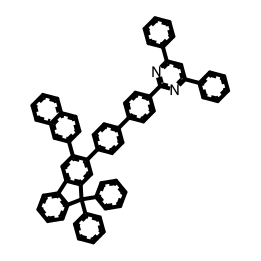 c1ccc(-c2cc(-c3ccccc3)nc(-c3ccc(-c4ccc(-c5cc6c(cc5-c5ccc7ccccc7c5)-c5ccccc5C6(c5ccccc5)c5ccccc5)cc4)cc3)n2)cc1